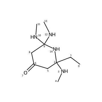 CCC1(NC)CC(=O)CC(NC)(NC)N1